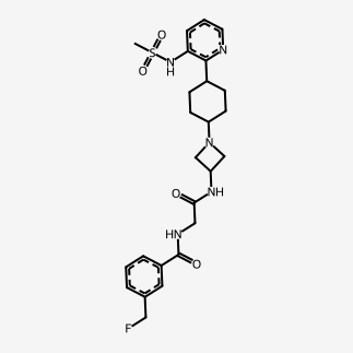 CS(=O)(=O)Nc1cccnc1C1CCC(N2CC(NC(=O)CNC(=O)c3cccc(CF)c3)C2)CC1